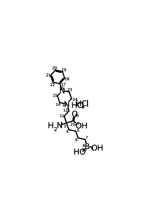 Cl.Cl.NC(CCCCB(O)O)(CCN1CCN(c2ccccc2)CC1)C(=O)O